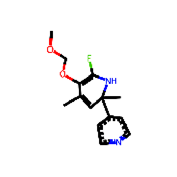 COCOC1=C(F)NC(C)(c2ccncc2)C=C1C